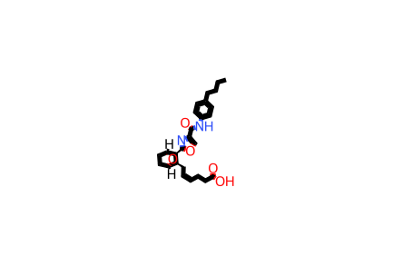 CCCCc1ccc(NC(=O)c2coc([C@H]3[C@@H](C/C=C\CCC(=O)O)[C@@H]4CC[C@H]3O4)n2)cc1